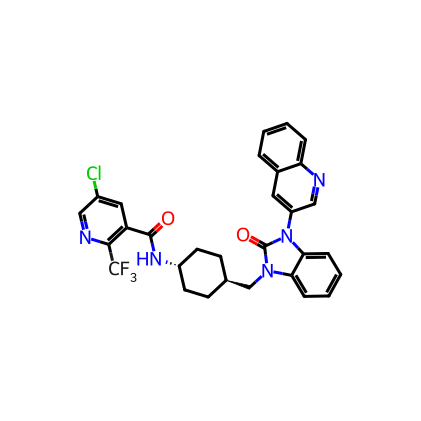 O=C(N[C@H]1CC[C@H](Cn2c(=O)n(-c3cnc4ccccc4c3)c3ccccc32)CC1)c1cc(Cl)cnc1C(F)(F)F